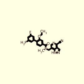 CCOc1cc(C(=O)N(C)Cc2cnc(C#N)c3cn[nH]c23)ccc1-c1cc(F)cc(P)c1